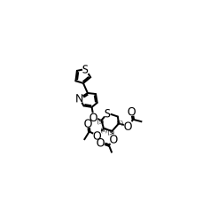 CC(=O)O[C@@H]1[C@@H](OC(C)=O)[C@@H](Oc2ccc(-c3ccsc3)nc2)SC[C@H]1OC(C)=O